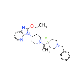 C=C(N1CCC(n2c(OCC)nc3cccnc32)CC1)C1(F)CCN(Cc2ccccc2)CC1